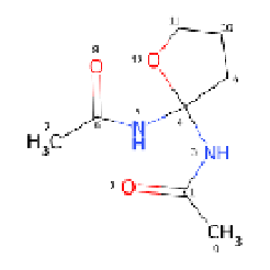 CC(=O)NC1(NC(C)=O)CCCO1